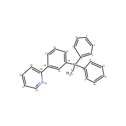 C[Si](c1ccccc1)(c1ccccc1)c1cccc(-c2ccccn2)c1